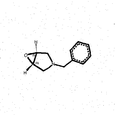 c1ccc(CN2C[C@@H]3O[C@H]3C2)cc1